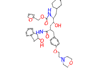 O=C(NC(CC1CCCCC1)C(O)CC(Cc1ccc(OCCN2CCOCC2)cc1)C(=O)N[C@H]1c2ccccc2C[C@@H]1O)OCc1ccco1